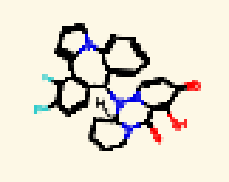 O=C1c2c(O)c(=O)ccn2N([C@@H]2c3ccccc3-n3cccc3-c3c2ccc(F)c3F)[C@@H]2CCCCN12